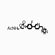 CC(=O)NC[C@H]1CN(c2ccc(-c3ccc(Cn4cnnn4)nc3)c(F)c2)C(=O)O1